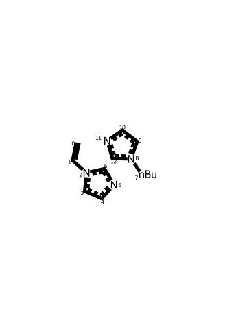 C=Cn1ccnc1.CCCCn1ccnc1